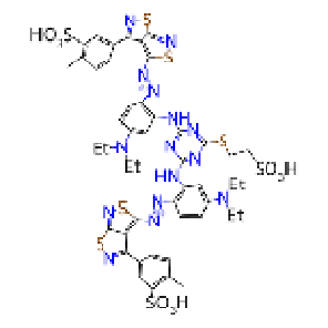 CCN(CC)c1ccc(/N=N/c2snc3snc(-c4ccc(C)c(S(=O)(=O)O)c4)c23)c(Nc2nc(Nc3cc(N(CC)CC)ccc3/N=N/c3snc4snc(-c5ccc(C)c(S(=O)(=O)O)c5)c34)nc(SCCS(=O)(=O)O)n2)c1